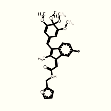 COC1=CC(=CC2=C(C)/C(=C\C(=O)NCc3ccco3)c3cc(F)ccc32)C=C(OC)C1(OC)OC